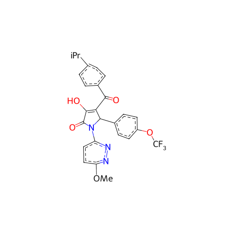 COc1ccc(N2C(=O)C(O)=C(C(=O)c3ccc(C(C)C)cc3)C2c2ccc(OC(F)(F)F)cc2)nn1